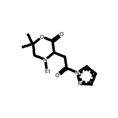 CCN1CC(C)(C)OC(=O)C1CC(=O)n1cccn1